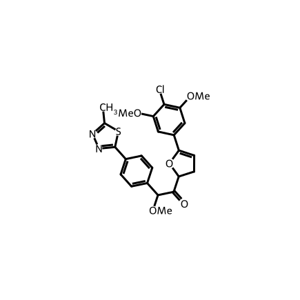 COc1cc(C2=CCC(C(=O)C(OC)c3ccc(-c4nnc(C)s4)cc3)O2)cc(OC)c1Cl